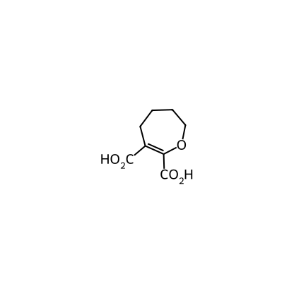 O=C(O)C1=C(C(=O)O)OCCCC1